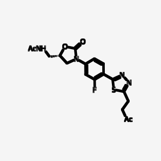 CC(=O)CCc1nnc(-c2ccc(N3C[C@H](CNC(C)=O)OC3=O)cc2F)s1